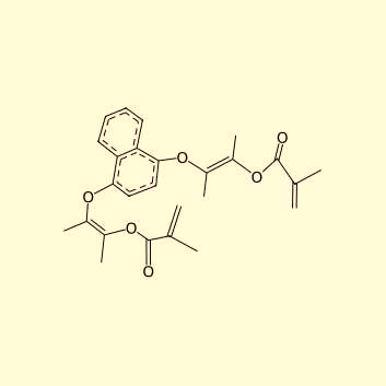 C=C(C)C(=O)OC(C)=C(C)Oc1ccc(OC(C)=C(C)OC(=O)C(=C)C)c2ccccc12